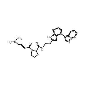 CN(C)C/C=C/C(=O)N1CCCC1C(=O)NCCc1cc2c(-c3cnn4ncccc34)ccnc2[nH]1